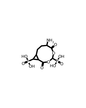 NC1CCC2C(C(=O)OC(P(=O)(O)O)OC1=O)C2P(=O)(O)O